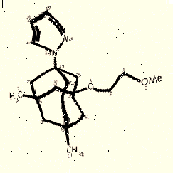 COCCOC12CC3(C)CC(C)(C1)CC(n1cccn1)(C3)C2